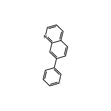 [c]1cccc(-c2ccc3cccnc3c2)c1